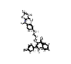 C/C(=C1\SC(=O)NC1=O)c1ccc(NCCOc2c(-c3ccc(F)cc3)n(C)c3ccccc3c2=O)cc1